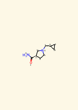 NC(=O)[C@@H]1CCN(CC2CC2)C1